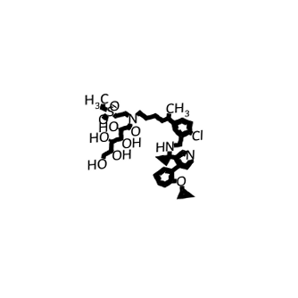 CCS(=O)(=O)CCN(CCCCC(C)c1ccc(Cl)c(CNC2(c3cnccc3-c3ccccc3OC3CC3)CC2)c1)C(=O)[C@@H](O)[C@@H](O)[C@H](O)[C@@H](O)CO